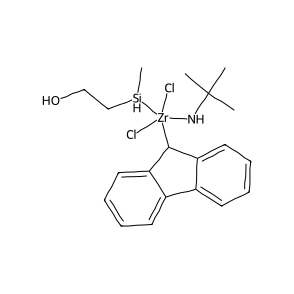 C[SiH](CCO)[Zr]([Cl])([Cl])([NH]C(C)(C)C)[CH]1c2ccccc2-c2ccccc21